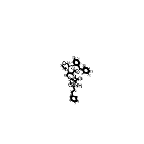 O=C(CCc1ccccc1)N[C@@H]1C(=O)N2C(C(=O)OC(c3ccccc3)c3ccccc3)=C(N3CCOCC3)CS[C@H]12